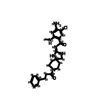 CNc1nc(N)c(Cl)nc1C(=O)/N=C1\NCC2(CCN(C(=O)CCc3cccnc3)CC2)N1